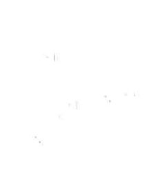 CC#N.CCCN(CCCc1c(C2(C(F)(F)F)CC2)cccc1C1(C(F)(F)F)CC1)Cc1ccccc1